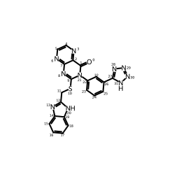 O=c1c2nccnc2nc(SCc2nc3ccccc3[nH]2)n1-c1cccc(-c2nnn[nH]2)c1